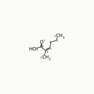 CCCC=C(C)C(=O)O